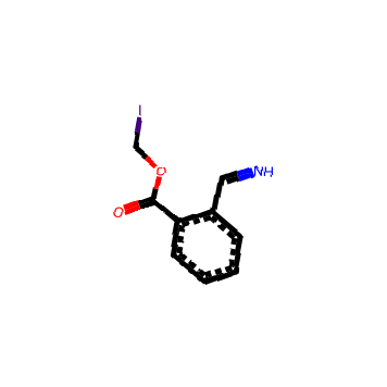 N=Cc1ccccc1C(=O)OCI